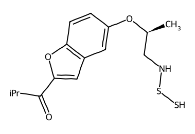 CC(C)C(=O)c1cc2cc(O[C@@H](C)CNSS)ccc2o1